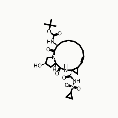 CC(C)(C)OC(=O)N[C@H]1CCCCC/C=C\C2C[C@@]2(C(=O)NS(=O)(=O)C2CC2)NC(=O)[C@@H]2C[C@@H](O)CN2C1=O